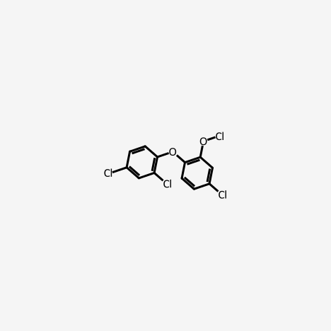 ClOc1cc(Cl)ccc1Oc1ccc(Cl)cc1Cl